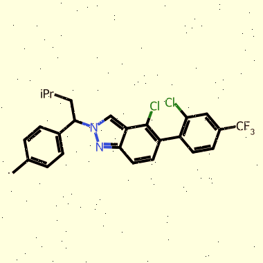 [CH2]c1ccc(C(CC(C)C)n2cc3c(Cl)c(-c4ccc(C(F)(F)F)cc4Cl)ccc3n2)cc1